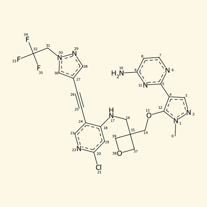 Cn1ncc(-c2nccc(N)n2)c1OCC1(CNc2cc(Cl)ncc2C#Cc2cnn(CC(F)(F)F)c2)COC1